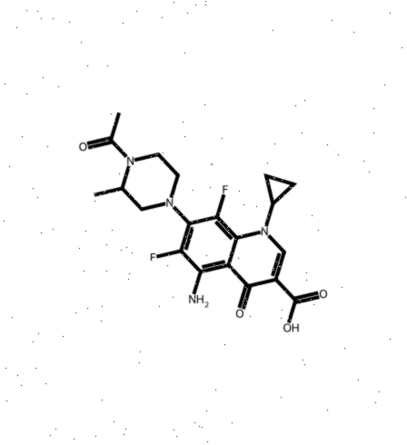 CC(=O)N1CCN(c2c(F)c(N)c3c(=O)c(C(=O)O)cn(C4CC4)c3c2F)CC1C